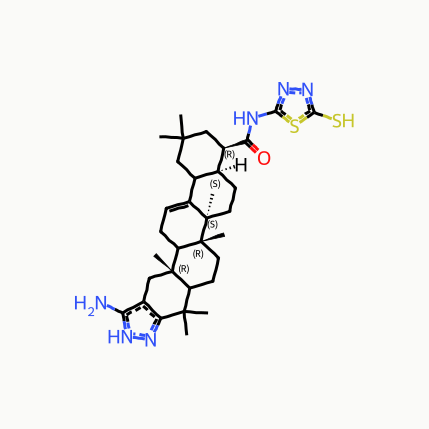 CC1(C)CC2C3=CCC4[C@@]5(C)Cc6c(n[nH]c6N)C(C)(C)C5CC[C@@]4(C)[C@]3(C)CC[C@@H]2[C@H](C(=O)Nc2nnc(S)s2)C1